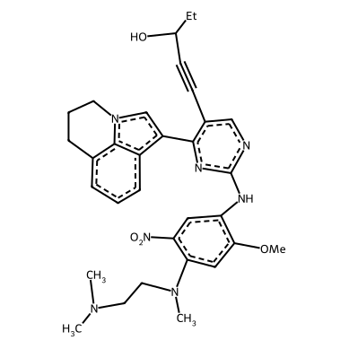 CCC(O)C#Cc1cnc(Nc2cc([N+](=O)[O-])c(N(C)CCN(C)C)cc2OC)nc1-c1cn2c3c(cccc13)CCC2